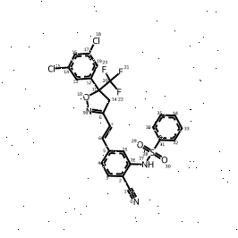 N#Cc1ccc(/C=C/C2=NOC(c3cc(Cl)cc(Cl)c3)(C(F)(F)F)C2)cc1NS(=O)(=O)c1ccccc1